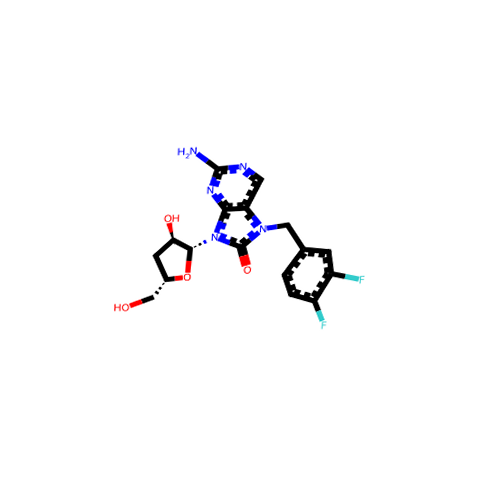 Nc1ncc2c(n1)n([C@@H]1O[C@H](CO)C[C@H]1O)c(=O)n2Cc1ccc(F)c(F)c1